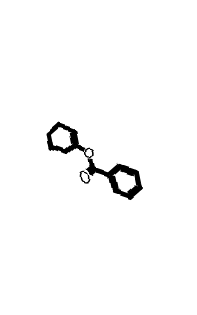 O=C(OC1=CCCCC1)c1ccccc1